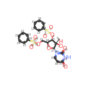 C[C@]1(O)[C@H](OS(=O)(=O)c2ccccc2)C(COS(=O)(=O)c2ccccc2)O[C@H]1n1ccc(=O)[nH]c1=O